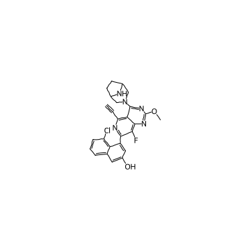 C#Cc1nc(-c2cc(O)cc3cccc(Cl)c23)c(F)c2nc(OC)nc(N3CC4CCC(C3)N4)c12